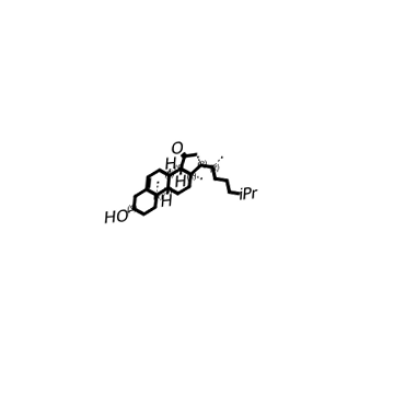 CC(C)CCC[C@@H](C)[C@H]1CC(=O)[C@H]2[C@@H]3CC=C4C[C@@H](O)CC[C@]4(C)[C@H]3CC[C@]12C